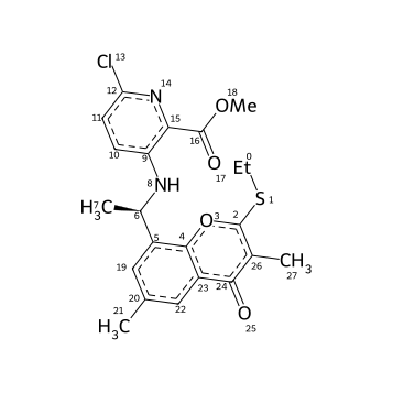 CCSc1oc2c([C@@H](C)Nc3ccc(Cl)nc3C(=O)OC)cc(C)cc2c(=O)c1C